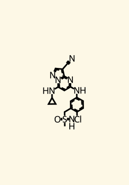 CS(=N)(=O)Cc1cc(Nc2cc(NC3CC3)n3ncc(C#N)c3n2)ccc1Cl